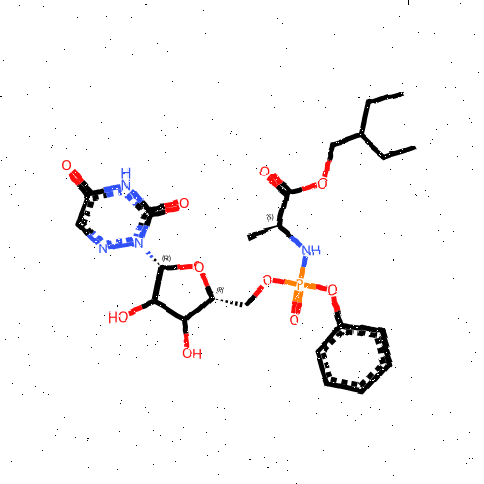 CCC(CC)COC(=O)[C@H](C)NP(=O)(OC[C@H]1O[C@@H](n2ncc(=O)[nH]c2=O)C(O)C1O)Oc1ccccc1